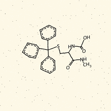 CNC(=O)C(CSC(c1ccccc1)(c1ccccc1)c1ccccc1)NC(=O)O